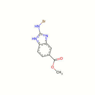 COC(=O)c1ccc2[nH]c(NBr)nc2c1